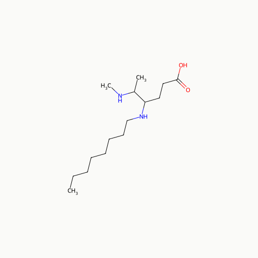 CCCCCCCCNC(CCC(=O)O)C(C)NC